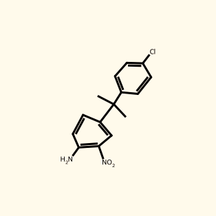 CC(C)(c1ccc(Cl)cc1)c1ccc(N)c([N+](=O)[O-])c1